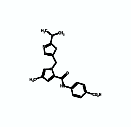 Cc1cc(C(=O)Nc2ccc(C(=O)O)cc2)n(Cc2cnc(N(C)C)s2)c1